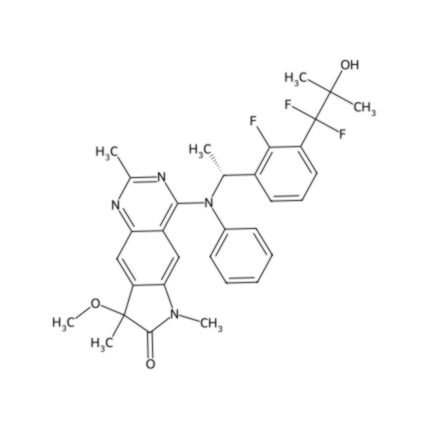 COC1(C)C(=O)N(C)c2cc3c(N(c4ccccc4)[C@H](C)c4cccc(C(F)(F)C(C)(C)O)c4F)nc(C)nc3cc21